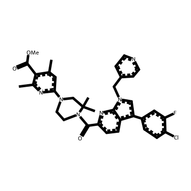 COC(=O)c1c(C)cc(N2CCN(C(=O)c3ccc4c(-c5ccc(Cl)c(F)c5)cn(Cc5ccncc5)c4n3)C(C)(C)C2)nc1C